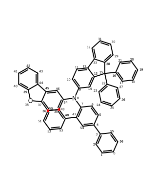 c1ccc(-c2ccc(N(c3ccc4c(c3)C(c3ccccc3)(c3ccccc3)c3ccccc3-4)c3ccc4oc5ccccc5c4c3)c(-c3ccccc3)c2)cc1